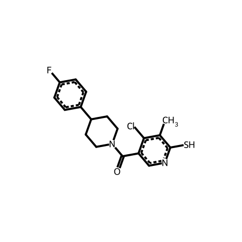 Cc1c(S)ncc(C(=O)N2CCC(c3ccc(F)cc3)CC2)c1Cl